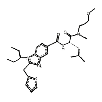 CCC(CC)n1c(Cc2cccs2)nc2cc(C(=O)N[C@@H](CC(C)C)C(=O)N(C)CCOC)ccc21